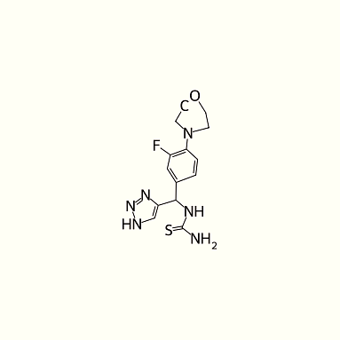 NC(=S)NC(c1ccc(N2CCOCC2)c(F)c1)c1c[nH]nn1